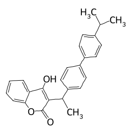 CC(C)c1ccc(-c2ccc(C(C)c3c(O)c4ccccc4oc3=O)cc2)cc1